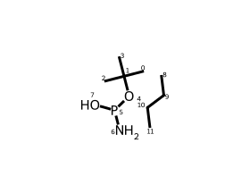 CC(C)(C)OP(N)O.CCCC